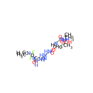 CC(C)C[C@H](NC(=O)[C@@H](O)[C@H](C)Cc1ccccc1)C(=O)NCCCN1C[C@H]2C[C@@H](OCC(=O)NCCCNc3cc(N4CCC5(CC4)CN(c4cc(F)c(CN6CCC(C)(C)CC6)cc4F)CC(=O)N5)ncn3)C[C@H]2C1